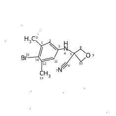 Cc1cc(NC2(C#N)COC2)cc(C)c1Br